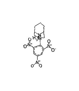 CN1C2CCCC1CN(c1c([N+](=O)[O-])cc([N+](=O)[O-])cc1[N+](=O)[O-])C2